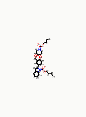 CCCCOC(=O)N1CCC2(CC1)OCc1cc(-c3cc4ccccc4n3C(=O)OCCCC)ccc1O2